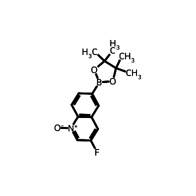 CC1(C)OB(c2ccc3c(cc(F)c[n+]3[O-])c2)OC1(C)C